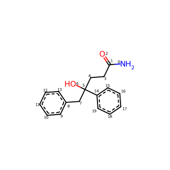 NC(=O)CCC(O)(Cc1ccccc1)c1ccccc1